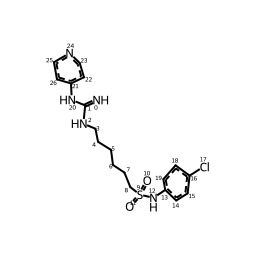 N=C(NCCCCCCS(=O)(=O)Nc1ccc(Cl)cc1)Nc1ccncc1